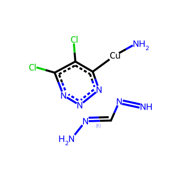 N=N/C=N/N.[NH2][Cu][c]1nnnc(Cl)c1Cl